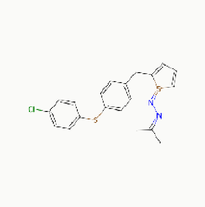 CC(C)=NN=S1C=CC=C1Cc1ccc(Sc2ccc(Cl)cc2)cc1